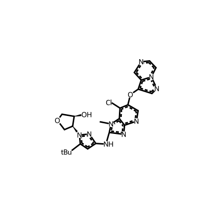 Cn1c(Nc2cc(C(C)(C)C)n([C@H]3COC[C@H]3O)n2)nc2ncc(Oc3cnn4ccncc34)c(Cl)c21